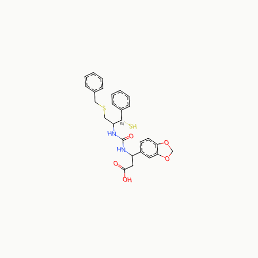 O=C(O)CC(NC(=O)NC(CSCc1ccccc1)[C@@H](S)c1ccccc1)c1ccc2c(c1)OCO2